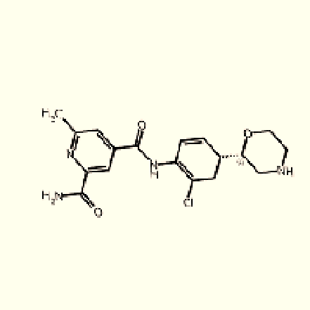 Cc1cc(C(=O)NC2=C(Cl)CC([C@H]3CNCCO3)C=C2)cc(C(N)=O)n1